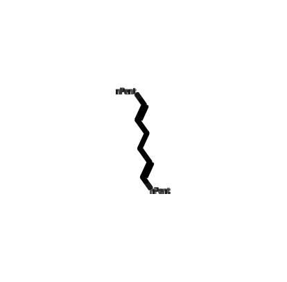 [CH2]CCCC/C=C/CC/C=C/CCCCC